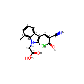 Cc1cccc2c(C=C(C#N)C(=O)Cl)cn(CC(=O)O)c12